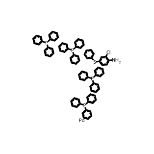 Nc1ccc(Sc2ccccc2)cc1Cl.[Pd].c1ccc(P(c2ccccc2)c2ccccc2)cc1.c1ccc(P(c2ccccc2)c2ccccc2)cc1.c1ccc(P(c2ccccc2)c2ccccc2)cc1.c1ccc(P(c2ccccc2)c2ccccc2)cc1